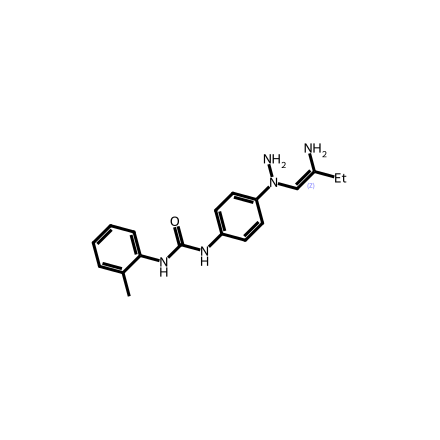 CC/C(N)=C/N(N)c1ccc(NC(=O)Nc2ccccc2C)cc1